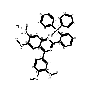 COc1ccc(-c2nc(-c3ccccc3[P+](C)(c3ccccc3)c3ccccc3)nc3cc(OC)c(OC)cc23)cc1OC.[Cl-]